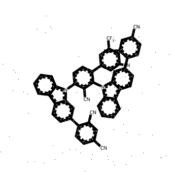 N#Cc1cc(-c2ccc(-n3c4ccccc4c4ccc(-c5ccc(C#N)cc5C#N)cc43)c(C#N)c2-n2c3ccccc3c3ccc(-c4ccc(C#N)cc4C#N)cc32)cc(C(F)(F)F)c1